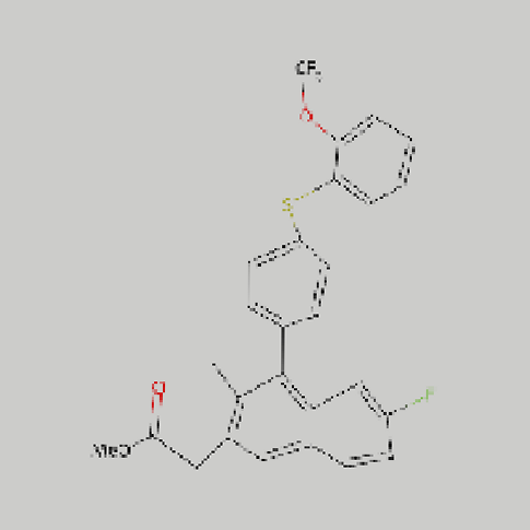 COC(=O)Cc1cc2ccc(F)cc2c(-c2ccc(Sc3ccccc3OC(F)(F)F)cc2)c1C